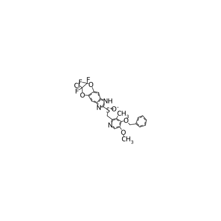 COc1cnc(C[S+]([O-])c2nc3cc4c(cc3[nH]2)OC(F)(F)C(F)(Cl)O4)c(C)c1OCc1ccccc1